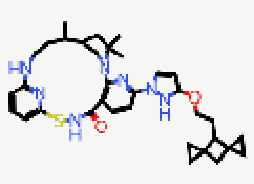 CC1CCNc2cccc(n2)SNC(=O)c2ccc(N3C=CC(OCCC4C5(CC5)CC45CC5)N3)nc2N2CC1CC2(C)C